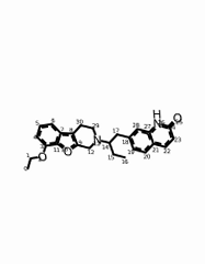 CCOc1cccc2c3c(oc12)CN(C(CC)Cc1ccc2ccc(=O)[nH]c2c1)CC3